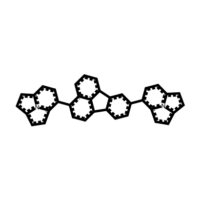 c1cc2c3c(ccc(-c4ccc5ccc6ccc4n56)c3c1)-c1ccc(-c3ccc4ccc5ccc3n45)cc1-2